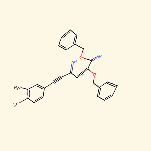 Cc1cc(C#CC(=N)/C=C(/OCc2ccccc2)C(=N)OCc2ccccc2)ccc1C(F)(F)F